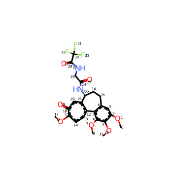 COc1cc2c(c(OC)c1OC)-c1ccc(OC)c(=O)cc1[C@@H](NC(=O)CNC(=O)C(F)(F)F)CC2